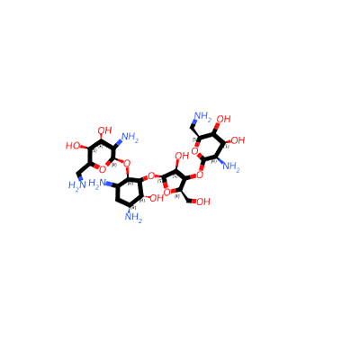 NCC1O[C@H](O[C@@H]2C(N)C[C@@H](N)[C@@H](O)C2O[C@@H]2O[C@H](CO)C(OC3O[C@@H](CN)C(O)[C@@H](O)[C@H]3N)[C@@H]2O)C(N)[C@@H](O)[C@@H]1O